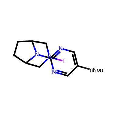 CCCCCCCCCc1cnc(N2C3CCC2CN(I)C3)nc1